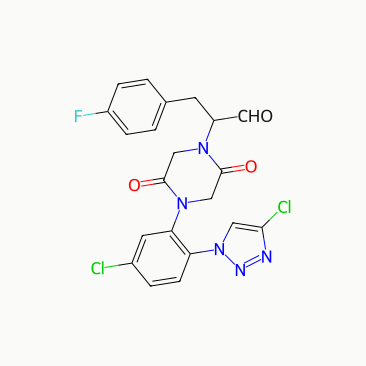 O=CC(Cc1ccc(F)cc1)N1CC(=O)N(c2cc(Cl)ccc2-n2cc(Cl)nn2)CC1=O